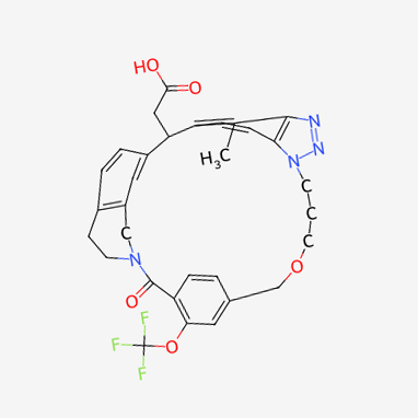 Cc1c2ccc3c1nnn3CCCOCc1ccc(c(OC(F)(F)F)c1)C(=O)N1CCc3ccc(cc3C1)C2CC(=O)O